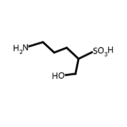 NCCCC(CO)S(=O)(=O)O